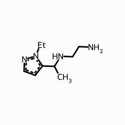 CCn1nccc1C(C)NCCN